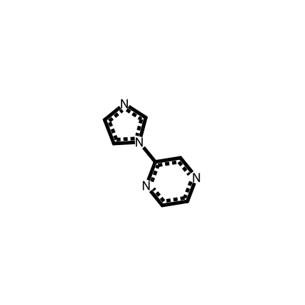 c1cnc(-n2ccnc2)cn1